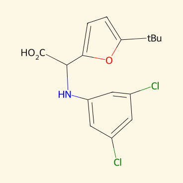 CC(C)(C)c1ccc(C(Nc2cc(Cl)cc(Cl)c2)C(=O)O)o1